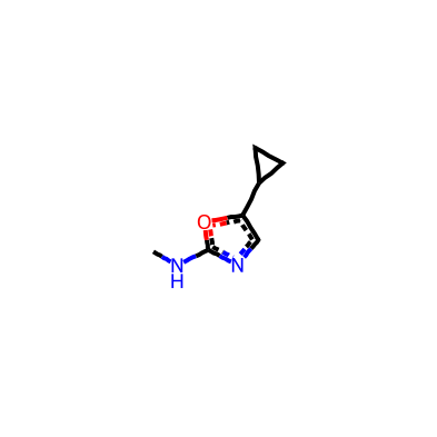 CNc1ncc(C2CC2)o1